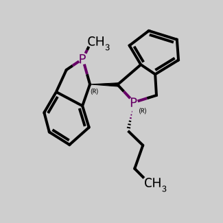 CCCC[P@@]1Cc2ccccc2C1[C@H]1c2ccccc2CP1C